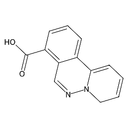 O=C(O)c1cccc2c1C=NN1CC=CC=C21